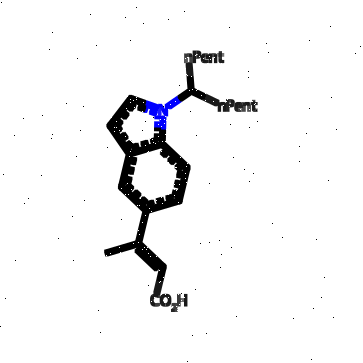 CCCCCC(CCCCC)n1ccc2cc(/C(C)=C/C(=O)O)ccc21